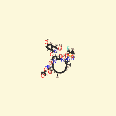 COc1ccc2c(O[C@@H]3C[C@H]4C(=O)N[C@]5(C(=O)NS(=O)(=O)C6(CF)CC6)C[C@H]5/C=C\CC[C@@H](C)C[C@@H](C)[C@H](NC(=O)OC5COC5)C(=O)N4C3)nc(OC)cc2c1